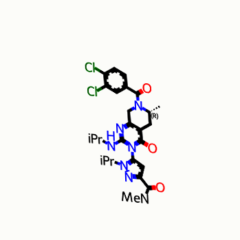 CNC(=O)c1cc(-n2c(NC(C)C)nc3c(c2=O)C[C@@H](C)N(C(=O)c2ccc(Cl)c(Cl)c2)C3)n(C(C)C)n1